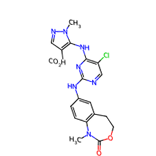 CN1C(=O)OCCc2cc(Nc3ncc(Cl)c(Nc4c(C(=O)O)cnn4C)n3)ccc21